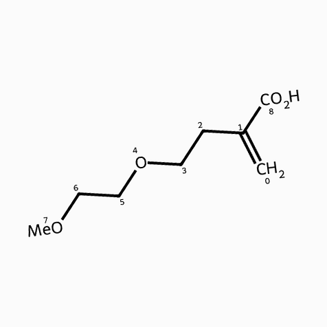 C=C(CCOCCOC)C(=O)O